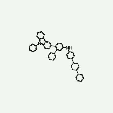 C1=C(c2ccccc2)CCC(c2ccc(Nc3ccc(-c4ccc5c(c4)c4ccccc4n5-c4ccccc4)c(-c4ccccc4)c3)cc2)=C1